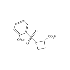 COc1ccccc1S(=O)(=O)N1CC[C@H]1C(=O)O